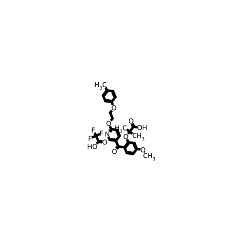 COc1ccc(C(=O)c2ccc(OCCOc3ccc(C)cc3)nc2)c(OC(C)(C)C(=O)O)c1.O=C(O)C(F)(F)F